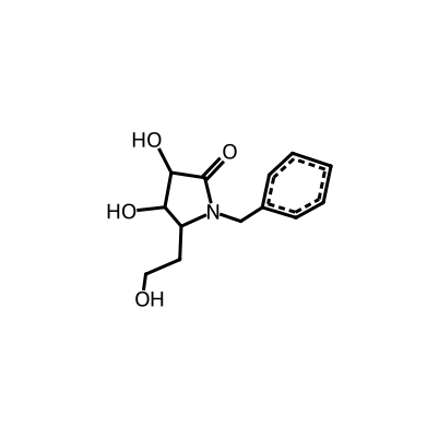 O=C1C(O)C(O)C(CCO)N1Cc1ccccc1